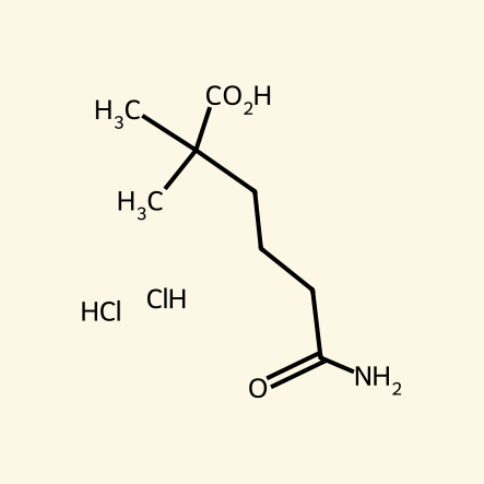 CC(C)(CCCC(N)=O)C(=O)O.Cl.Cl